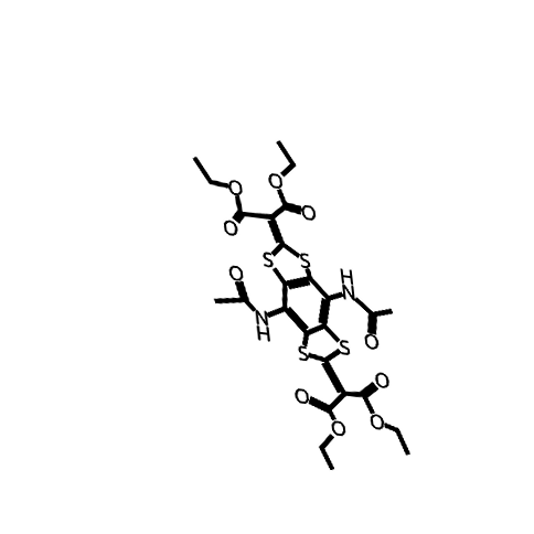 CCOC(=O)C(C(=O)OCC)=C1Sc2c(NC(C)=O)c3c(c(NC(C)=O)c2S1)SC(=C(C(=O)OCC)C(=O)OCC)S3